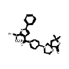 CC1(C)CC2(CN(C3CCN(C(=O)c4cc(-c5ccccc5)sc4N(C(=O)O)C(C)(C)C)CC3)CCO2)C(=O)O1